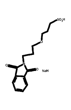 O=C1c2ccccc2C(=O)N1CCCOCCCS(=O)(=O)O.[NaH]